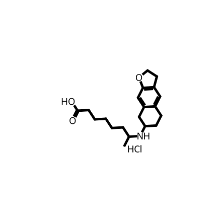 CC(CCCCCC(=O)O)NC1CCc2cc3c(cc2C1)OCC3.Cl